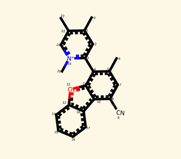 Cc1cc(-c2c(C)cc(C#N)c3c2oc2ccccc23)[n+](C)cc1C